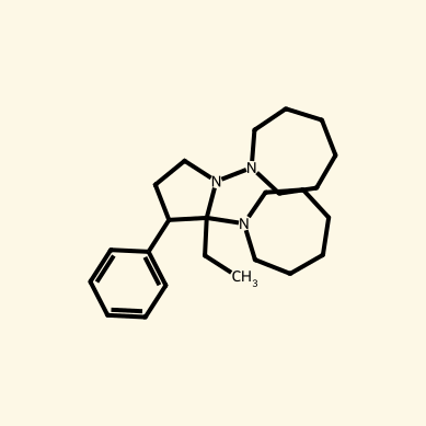 CCC1(N2CCCCCC2)C(c2ccccc2)CCN1N1CCCCCC1